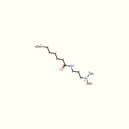 CCCCCCCCCCCCCCCC(=O)NCCCN(CCC)CCC